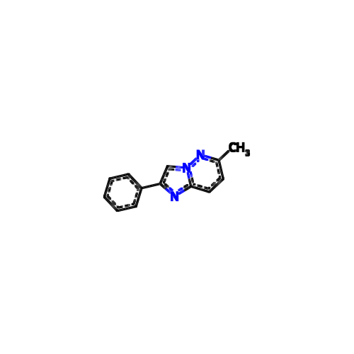 Cc1ccc2nc(-c3ccccc3)cn2n1